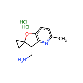 Cc1ccc2c(n1)[C@H](CN)C1(CC1)O2.Cl.Cl